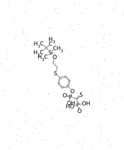 CC(C)(C)[Si](C)(C)OCCSc1ccc(OP(=O)(O)C(=S)P(=O)(O)O)cc1